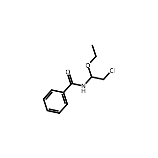 CCOC(CCl)NC(=O)c1ccccc1